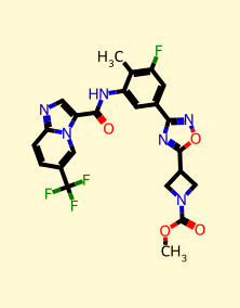 COC(=O)N1CC(c2nc(-c3cc(F)c(C)c(NC(=O)c4cnc5ccc(C(F)(F)F)cn45)c3)no2)C1